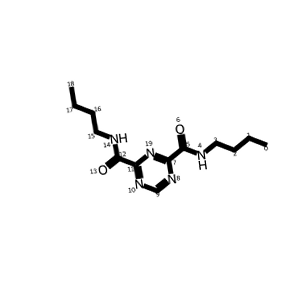 CCCCNC(=O)c1ncnc(C(=O)NCCCC)n1